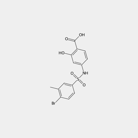 Cc1cc(S(=O)(=O)Nc2ccc(C(=O)O)c(O)c2)ccc1Br